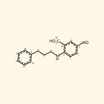 O=Nc1ccc(NCCCc2ccccc2)c(C(=O)O)c1